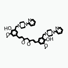 COc1cc(/C=C/C(=O)CC(=O)/C=C/c2cc(CN3CCN(c4ccccn4)CC3)c(O)c(OC)c2)cc(CN2CCN(c3ccccn3)CC2)c1O